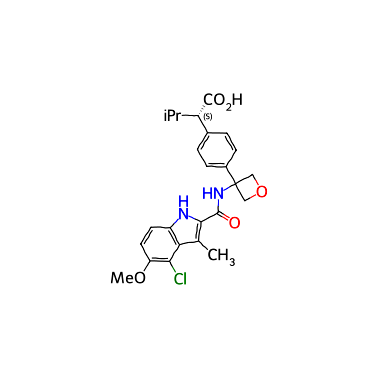 COc1ccc2[nH]c(C(=O)NC3(c4ccc([C@@H](C(=O)O)C(C)C)cc4)COC3)c(C)c2c1Cl